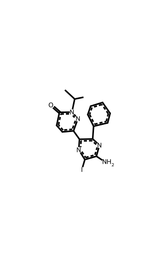 CC(C)n1nc(-c2nc(I)c(N)nc2-c2ccccc2)ccc1=O